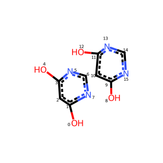 Oc1cc(O)ncn1.Oc1cc(O)ncn1